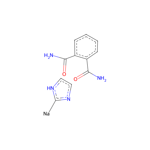 NC(=O)c1ccccc1C(N)=O.[Na][c]1ncc[nH]1